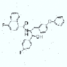 O=C(NC(Cc1cccc(Oc2ccccc2)c1)C(O)c1ccc(F)cc1)c1ccc(F)c2ccccc12